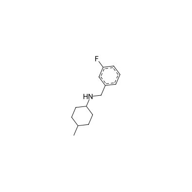 CC1CCC(NCc2cccc(F)c2)CC1